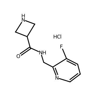 Cl.O=C(NCc1ncccc1F)C1CNC1